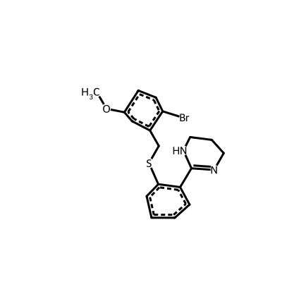 COc1ccc(Br)c(CSc2ccccc2C2=NCCCN2)c1